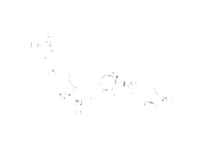 CCN(CC)CCCOC1C=C2C(=NC1)NCC2Cc1ccc(NCC2C=CC(Cl)=CC2)nc1